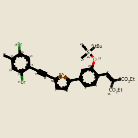 CCOC(=O)C(=Cc1ccc(-c2ccc(C#Cc3cc(Br)c(C)cc3Br)s2)cc1O[Si](C)(C)C(C)(C)C)C(=O)OCC